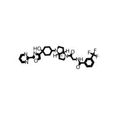 O=C(NCC(=O)N1CC[C@H]2[C@@H]1CCN2C1CCC(O)(c2coc(-c3ncccn3)n2)CC1)c1cccc(C(F)(F)F)c1